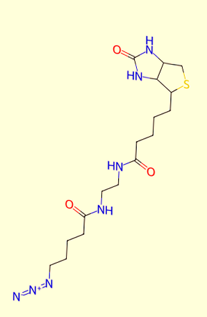 [N-]=[N+]=NCCCCC(=O)NCCNC(=O)CCCCC1SCC2NC(=O)NC21